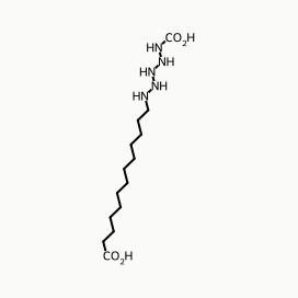 O=C(O)CCCCCCCCCCCCNNNNNC(=O)O